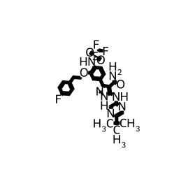 CC(C)(C)c1cnc(Nc2[nH]nc(-c3ccc(NS(=O)(=O)C(F)F)c(OCCc4ccc(F)cc4)c3)c2C(N)=O)cn1